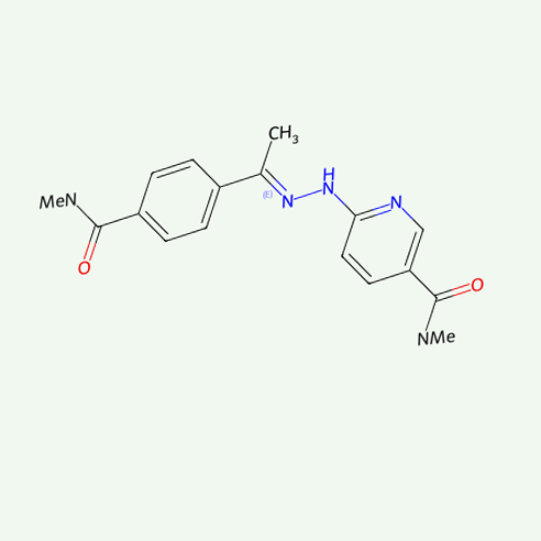 CNC(=O)c1ccc(/C(C)=N/Nc2ccc(C(=O)NC)cn2)cc1